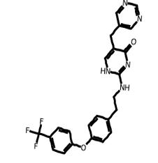 O=c1nc(NCCc2ccc(Oc3ccc(C(F)(F)F)cc3)cc2)[nH]cc1Cc1cncnc1